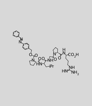 CC(C)CC(NC(=O)[C@@H]1CCCN1C(=O)OCc1ccc(/N=N/c2ccccc2)cc1)C(=O)NCC(=O)N1CCC[C@H]1C(=O)N[C@H](CCCNC(=N)N)C(=O)O